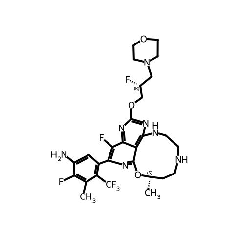 Cc1c(F)c(N)cc(-c2nc3c4c(nc(OC[C@H](F)CN5CCOCC5)nc4c2F)NCCNCC[C@H](C)O3)c1C(F)(F)F